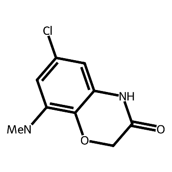 CNc1cc(Cl)cc2c1OCC(=O)N2